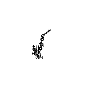 CCCCCCCOc1ccc(-c2cnc(-c3ccc(C[C@H](NC(=O)c4ccn(C(C)(C)C)c4)C(=O)N[C@H](C)C(=O)O)cc3)nc2)cc1